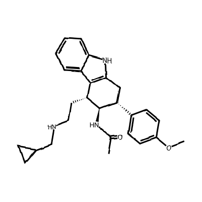 COc1ccc([C@H]2Cc3[nH]c4ccccc4c3[C@@H](CCNCC3CC3)[C@@H]2NC(C)=O)cc1